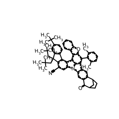 Cc1cccc(C)c1-c1c2oc3ccccc3c2c2c3c4c(c(C#N)cc3n3c5cc6c(cc5c1c23)C1CCC(C1)C6=O)C(CC(C)(C)C)(CC(C)(C)C)c1cc(C(C)(C)C)ccc1-4